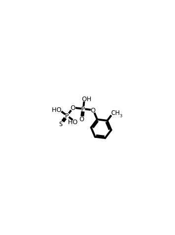 Cc1ccccc1OP(=O)(O)OP(O)(O)=S